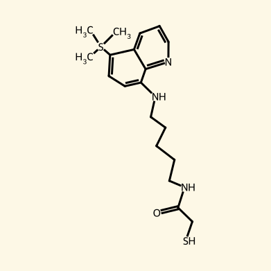 CS(C)(C)c1ccc(NCCCCCNC(=O)CS)c2ncccc12